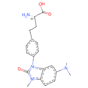 CN(C)c1ccc2c(c1)n(-c1ccc(CC[C@H](N)C(=O)O)cc1)c(=O)n2C